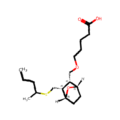 CCCC(C)SC[C@@H]1[C@H](COCCCCC(=O)O)[C@@H]2CC[C@H]1O2